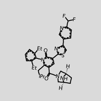 CCc1cccc(CC)c1-n1c(CC(C)C)c(C(=O)N2C[C@H]3CC[C@@H](C2)N3)cc(-c2nc(-c3ccc(C(F)F)nc3)cs2)c1=O